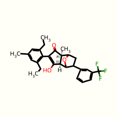 CCc1cc(C)cc(CC)c1C1=C(O)[C@@H]2C3OC(CC3c3cccc(C(F)(F)F)c3)[C@]2(C)C1=O